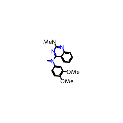 CNc1nc(N(C)c2ccc(OC)c(OC)c2)c2ccccc2n1